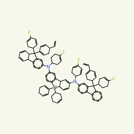 C=CC1=CCC(C2(C3CC=C(F)CC3)c3ccccc3-c3ccc(N(C4=CC5c6cc(N(c7ccc8c(c7)C(C7=CCC(C=C)C=C7)(C7C=CC(F)=CC7)C7C=CC=CC87)C7CC=C(F)CC7)ccc6[Si](C6=CCCC=C6)(C6CC=CCC6)C5C=C4)C4C=CC(F)=CC4)cc32)C=C1